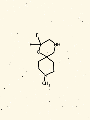 CN1CCC2(CC1)CNCC(F)(F)O2